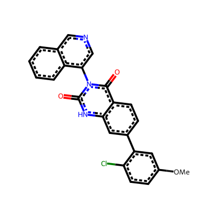 COc1ccc(Cl)c(-c2ccc3c(=O)n(-c4cncc5ccccc45)c(=O)[nH]c3c2)c1